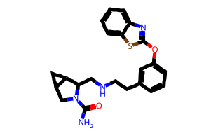 NC(=O)N1CC2CC2C1CNCCc1cccc(Oc2nc3ccccc3s2)c1